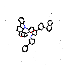 c1ccc(-c2cccc(N(c3ccc(-c4cccc(-c5cccc6ccccc56)c4)cc3)c3ccccc3-c3ccccc3-n3c4ccccc4c4ccc5ccccc5c43)c2)cc1